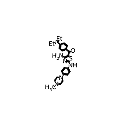 CCN(CC)c1ccc(C(=O)c2sc(Nc3ccc(N4CCN(C)CC4)cc3)nc2N)cc1